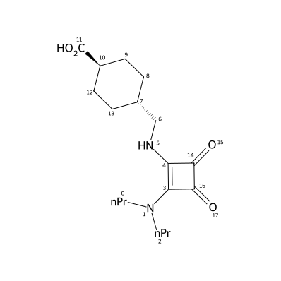 CCCN(CCC)c1c(NC[C@H]2CC[C@H](C(=O)O)CC2)c(=O)c1=O